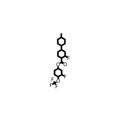 CC1CCC(C2CCC(C(=O)OC3CCC(OC(F)(F)F)C(F)C3)C(F)C2)CC1